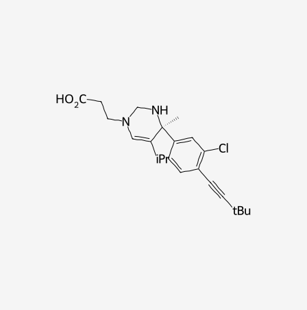 CC(C)C1=CN(CCC(=O)O)CN[C@@]1(C)c1ccc(C#CC(C)(C)C)c(Cl)c1